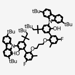 Cc1cc(F)cc(-c2cc(C(C)(C)CC(C)(C)C)cc(-n3c4cc(C(C)(C)C)ccc4c4ccc(C(C)(C)C)cc43)c2O)c1OCCCOc1c(C)cc(F)cc1-c1cc(C(C)(C)CC(C)(C)C)cc(-n2c3cc(C(C)(C)C)ccc3c3ccc(C(C)(C)C)cc32)c1O